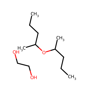 CCCC(C)OC(C)CCC.OCCO